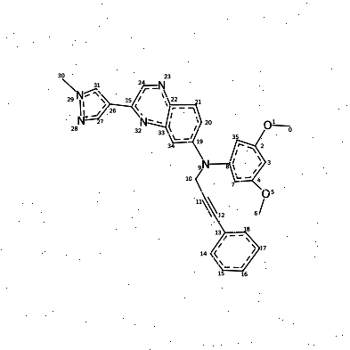 COc1cc(OC)cc(N(CC#Cc2ccccc2)c2ccc3ncc(-c4cnn(C)c4)nc3c2)c1